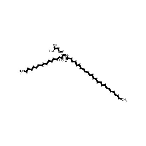 CCCCCCCCCCCCCCCCCCCCCCCCCC(=O)N[C@@H](COCC(C)O)C(O)CCCCCCCCCCCCCCC